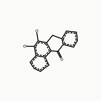 O=C1c2ccccc2Cc2c(Cl)c(Cl)c3ccccc3c21